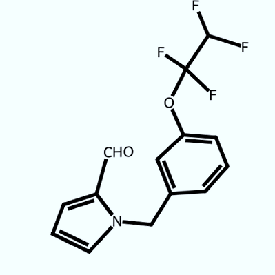 O=Cc1cccn1Cc1cccc(OC(F)(F)C(F)F)c1